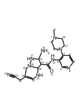 CN1CCN(c2ccncc2NC(=O)C2C(N)NN3CC(CC#N)=CNC23)CC1